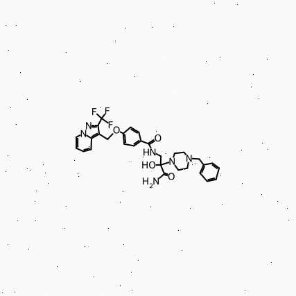 NC(=O)C(O)(CNC(=O)c1ccc(OCc2c(C(F)(F)F)nn3ccccc23)cc1)N1CCN(Cc2ccccc2)CC1